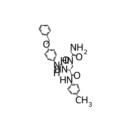 Cc1ccc(NC(=O)[C@H](CNC(=O)CN)NC(=O)Nc2ccc(OCc3ccccc3)cc2)cc1